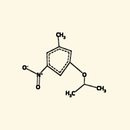 Cc1cc(OC(C)C)cc([N+](=O)[O-])c1